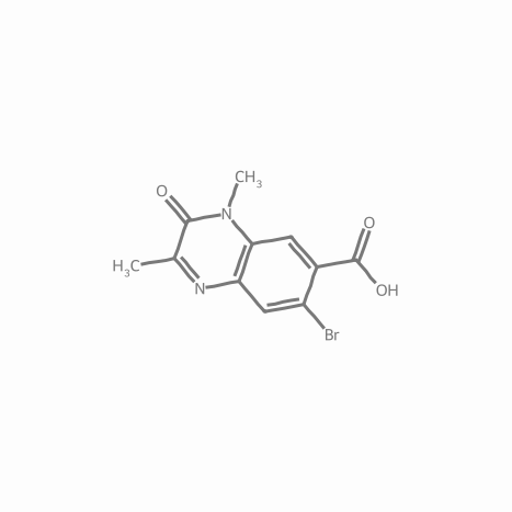 Cc1nc2cc(Br)c(C(=O)O)cc2n(C)c1=O